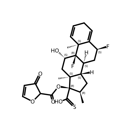 C[C@@H]1C[C@H]2[C@@H]3C[C@H](F)C4=CCC=C[C@]4(C)[C@@]3(F)[C@@H](O)C[C@]2(C)[C@@]1(OC(=O)C1OC=CC1=O)C(O)=S